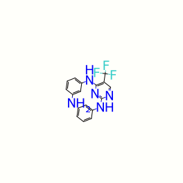 Nc1cccc(Nc2nc(Nc3ccccc3)ncc2C(F)(F)F)c1